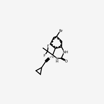 CC(F)(F)[C@]1(C#CC2CC2)NC(=O)Nc2cc(Br)ccc21